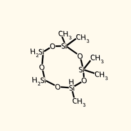 C[SiH]1O[SiH2]O[SiH2]O[Si](C)(C)O[Si](C)(C)O1